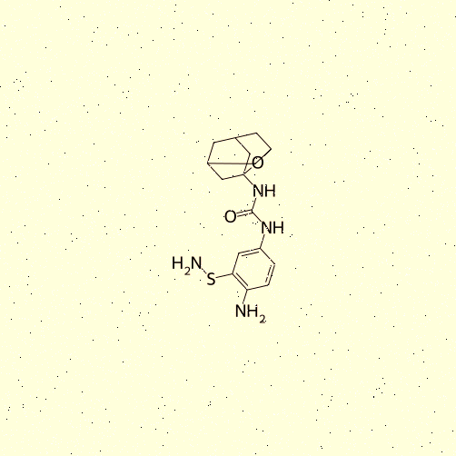 NSc1cc(NC(=O)NC23CC4CC(CC(C4)O2)C3)ccc1N